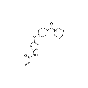 C=CC(=O)Nc1ccc(SN2CCN(C(=O)N3CCCCC3)CC2)cc1